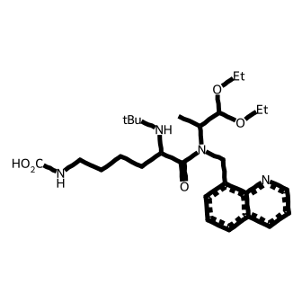 CCOC(OCC)C(C)N(Cc1cccc2cccnc12)C(=O)C(CCCCNC(=O)O)NC(C)(C)C